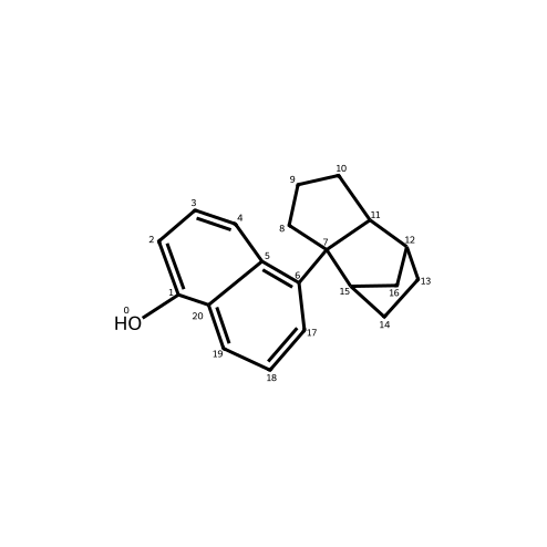 Oc1cccc2c(C34CCCC3C3CCC4C3)cccc12